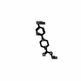 COc1ccc(N2CCN(C(=O)OC(C)(C)C)CC2)nc1